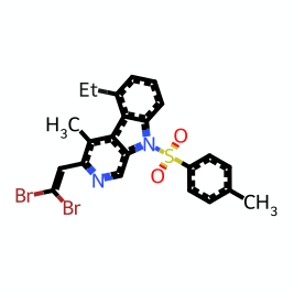 CCc1cccc2c1c1c(C)c(C=C(Br)Br)ncc1n2S(=O)(=O)c1ccc(C)cc1